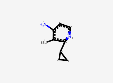 CC(C)(C)c1c(N)ccnc1C1CC1